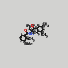 COc1cccc(C(=O)NC(C)(CC(C)C)C(=O)c2cc(C)cc(C)c2)c1C